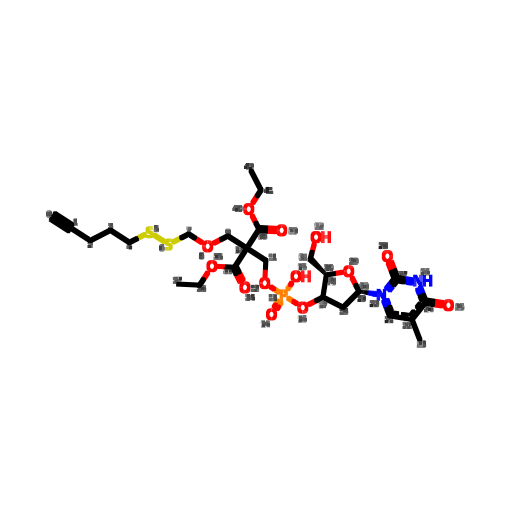 C#CCCCSSCOCC(COP(=O)(O)OC1C[C@H](n2cc(C)c(=O)[nH]c2=O)O[C@@H]1CO)(C(=O)OCC)C(=O)OCC